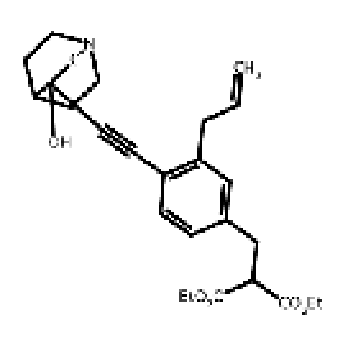 C=CCc1cc(CC(C(=O)OCC)C(=O)OCC)ccc1C#CC1(O)CN2CCC1CC2